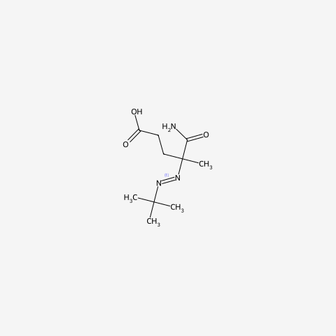 CC(C)(C)/N=N/C(C)(CCC(=O)O)C(N)=O